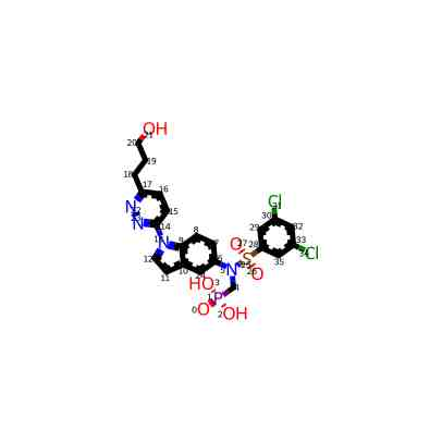 O=P(O)(O)CN(c1ccc2c(ccn2-c2ccc(CCCO)nn2)c1)S(=O)(=O)c1cc(Cl)cc(Cl)c1